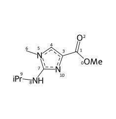 COC(=O)c1cn(C)c(NC(C)C)n1